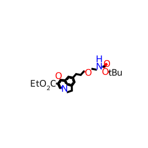 CCOC(=O)c1cn2c3c(cc(CCCOCCNC(=O)OC(C)(C)C)cc3c1=O)CC2